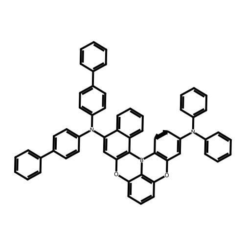 c1ccc(-c2ccc(N(c3ccc(-c4ccccc4)cc3)c3cc4c(c5ccccc35)B3c5c(cccc5O4)Oc4cc(N(c5ccccc5)c5ccccc5)c5ccccc5c43)cc2)cc1